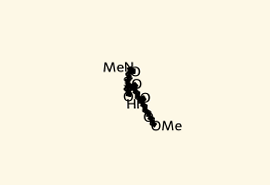 CNC(=O)CCSC1CC(=O)N(CCC(=O)NCCCOCCOC)C1=O